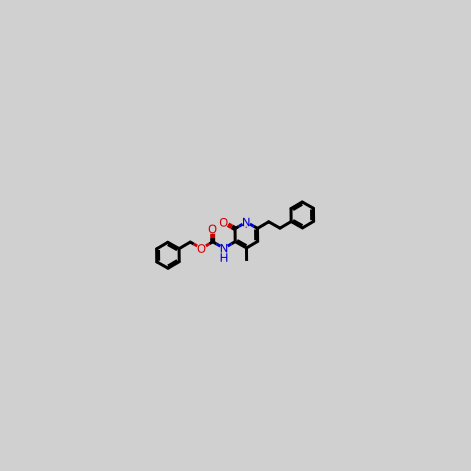 CC1=C(NC(=O)OCc2ccccc2)C(=O)[N]C(CCc2ccccc2)=C1